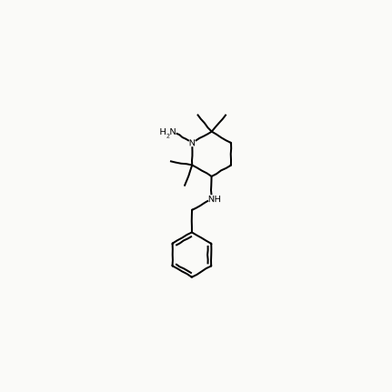 CC1(C)CCC(NCc2ccccc2)C(C)(C)N1N